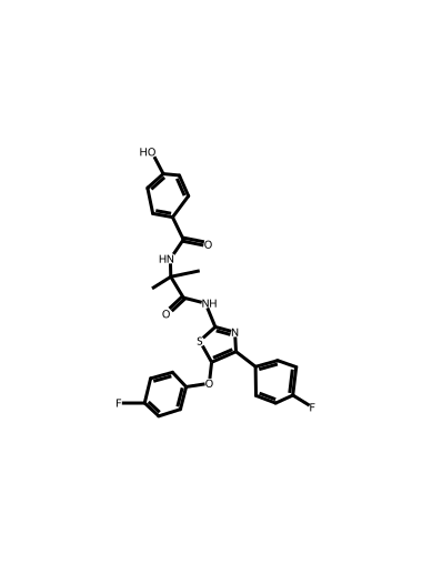 CC(C)(NC(=O)c1ccc(O)cc1)C(=O)Nc1nc(-c2ccc(F)cc2)c(Oc2ccc(F)cc2)s1